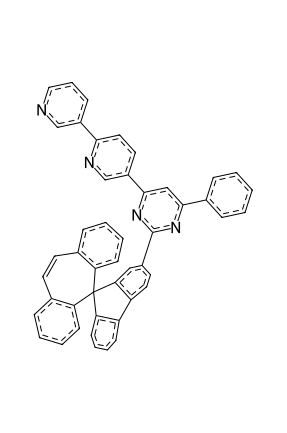 C1=Cc2ccccc2C2(c3ccccc31)c1ccccc1-c1ccc(-c3nc(-c4ccccc4)cc(-c4ccc(-c5cccnc5)nc4)n3)cc12